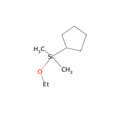 CCO[Si](C)(C)C1CCCC1